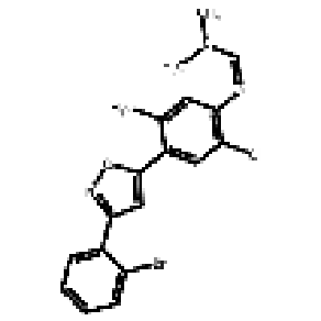 Cc1cc(/N=C\N(C)C)c(Cl)cc1-c1cc(-c2ccccc2Br)no1